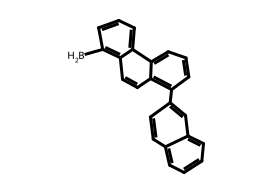 Bc1cccc2c1ccc1c(-c3ccc4ccccc4c3)cccc12